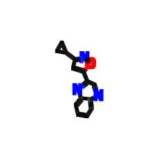 c1ccc2nc(-c3cc(C4CC4)no3)cnc2c1